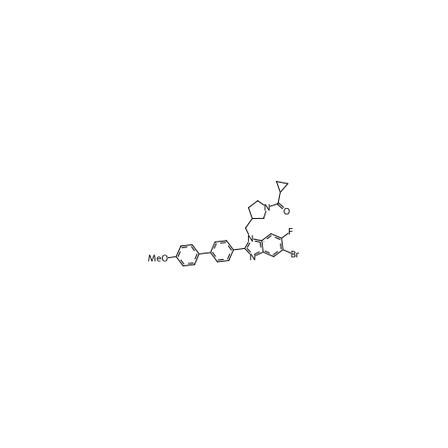 COc1ccc(-c2ccc(-c3nc4cc(Br)c(F)cc4n3CC3CCN(C(=O)C4CC4)C3)cc2)cc1